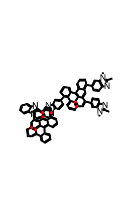 Cc1nc2ccc(-c3cccc4c(-c5cccc(-c6ccc7c(c6)nc(-c6ccccc6)n7-c6cccc7c(-c8ccccc8-c8ccccc8)c8cccc(-n9c(-c%10ccccc%10)nc%10ccccc%109)c8cc67)c5-c5ccccc5)c5cccc(-c6ccc7nc(C)n(C)c7c6)c5cc34)cc2n1C